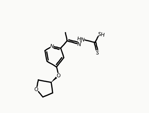 C/C(=N\NC(=S)S)c1cc(O[C@H]2CCOC2)ccn1